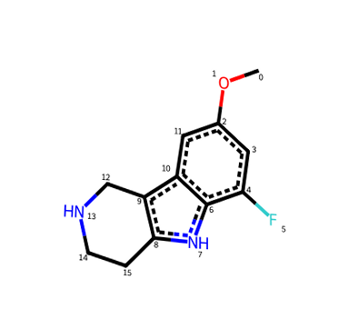 COc1cc(F)c2[nH]c3c(c2c1)CNCC3